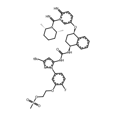 C[C@@H]1CCC[C@H](C)N1C(=N)n1cc(O[C@@H]2CC[C@H](NC(=O)Nc3cc(C(C)(C)C)nn3-c3ccc(F)c(OCCOS(C)(=O)=O)c3)c3ccccc32)ccc1=N